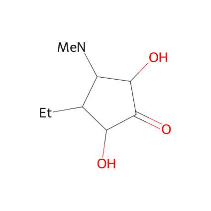 CCC1C(O)C(=O)C(O)C1NC